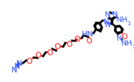 [N-]=[N+]=NCCOCCOCCOCCOCCOCCOCCC(=O)NCc1ccc(Cn2nc(-c3ccc4oc(N)nc4c3)c3c(N)ncnc32)cc1